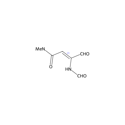 CNC(=O)/C=C(/C=O)NC=O